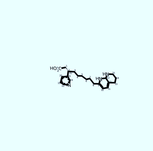 O=C(O)C[C@H](CCCCCCC1=CC=C2CCCNC2N1)c1cccnc1